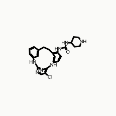 O=C(Nc1ccc2cc1CCc1cccc(c1)Nc1ncc(Cl)c(n1)N2)NC1CCNCC1